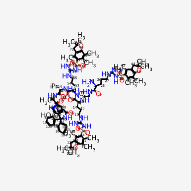 Cc1c(C)c(S(=O)(=O)NC(=N)NCCC[C@H](NC(=O)CNC(=O)[C@@H](N)CCCNC(=N)NS(=O)(=O)c2c(C)c(C)c3c(c2C)CC(C)(C)O3)C(=O)N[C@@H](CCCNC(=N)NS(=O)(=O)c2c(C)c(C)c3c(c2C)CC(C)(C)O3)C(=O)N[C@H](C(=O)N[C@@H](C)C(=O)N[C@@H](CC(=O)NC(c2ccccc2)(c2ccccc2)c2ccccc2)C(=O)O)C(C)C)c(C)c2c1OC(C)(C)C2